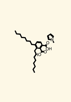 CCCCCCCCc1ccc(C(=O)O)c(C(=O)O)c1CCCCCCCC.Cn1cccc1